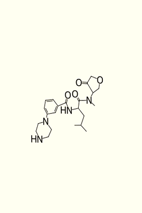 CC(C)CC(NC(=O)c1cccc(N2CCNCC2)c1)C(=O)N(C)C1COCC1=O